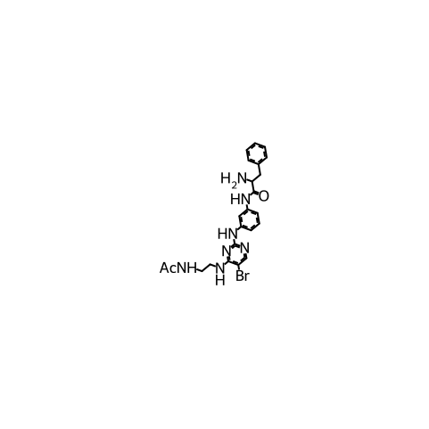 CC(=O)NCCNc1nc(Nc2cccc(NC(=O)C(N)Cc3ccccc3)c2)ncc1Br